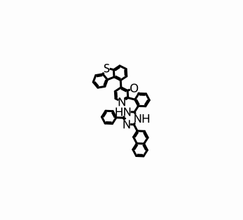 c1ccc(C2=NC(c3ccc4ccccc4c3)NC(c3cccc4oc5c(-c6cccc7sc8ccccc8c67)ccnc5c34)N2)cc1